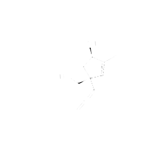 B[C@@H]1C[C@](C=C=C)(CO)C=C1F